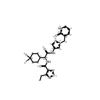 CCc1nonc1C(=O)N[C@H](C(=O)Nc1cnn(Cc2ccc[nH]c2=O)c1)C1CCC(F)(F)CC1